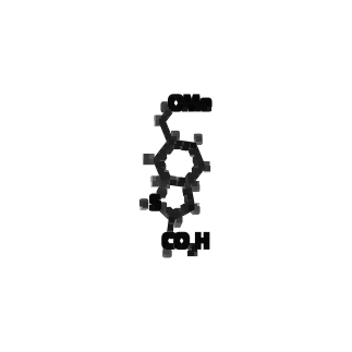 COCc1ccc2cc(C(=O)O)sc2c1